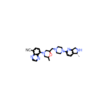 CC1CN(c2ccc(C#N)c3nccnc23)CC(CN2CCN(c3ccc4c(n3)CN[C@@H]4C)CC2)O1